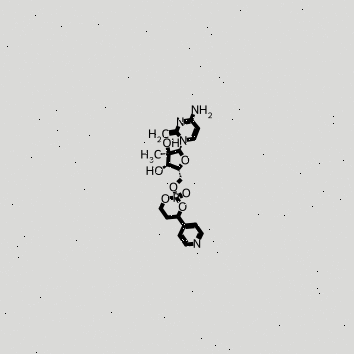 C=C1N=C(N)C=CN1[C@@H]1O[C@H](COP2(=O)OCCC(c3ccncc3)O2)[C@@H](O)[C@@]1(C)O